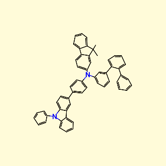 CC1(C)c2ccccc2-c2ccc(N(c3ccc(-c4ccc5c(c4)c4ccccc4n5-c4ccccc4)cc3)c3cccc(-c4ccccc4-c4ccccc4)c3)cc21